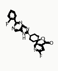 O=C1O[C@]2(CC[C@H](c3nc4nc(-c5ccccc5F)ncc4[nH]3)CC2)c2cnc(F)cc21